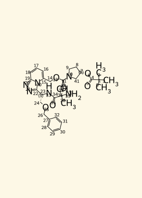 CC(C)(C)C(=O)O[C@H]1CCN(C(=O)OCc2cccc3nnc([C@@H](COCc4ccccc4)NC(=O)C(C)(C)N)n23)C1